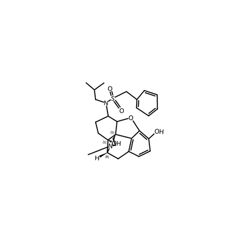 CC(C)CN(C1CC[C@@]2(O)[C@H]3Cc4ccc(O)c5c4[C@@]2(CCN3C)C1O5)S(=O)(=O)Cc1ccccc1